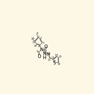 Cc1ccc(N(C=O)C(=O)NN=Cc2cccs2)cc1C